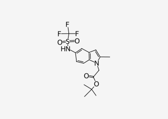 Cc1cc2cc(NS(=O)(=O)C(F)(F)F)ccc2n1CC(=O)OC(C)(C)C